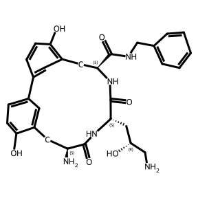 NC[C@H](O)C[C@@H]1NC(=O)[C@@H](N)Cc2cc(ccc2O)-c2ccc(O)c(c2)C[C@@H](C(=O)NCc2ccccc2)NC1=O